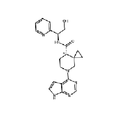 O=C(NC(CO)c1ccccn1)[C@H]1CCN(c2ncnc3[nH]ccc23)CC12CC2